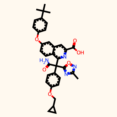 Cc1noc(C(C(N)=O)(c2ccc(OCC3CC3)cc2)c2nc(C(=O)O)cc3cc(Oc4ccc(C(C)(C)C)cc4)ccc23)n1